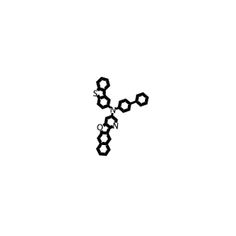 c1ccc(-c2ccc(N(c3cnc4c(c3)oc3cc5ccccc5cc34)c3ccc4sc5ccccc5c4c3)cc2)cc1